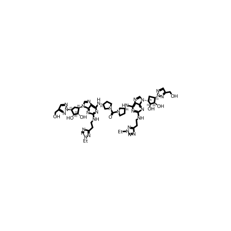 CCn1nnc(CCNc2nc(N[C@@H]3CCN(C(=O)N4CC[C@@H](Nc5nc(NCCc6nnn(CC)n6)nc6c5ncn6[C@@H]5C[C@H](n6ncc(CO)n6)[C@@H](O)[C@H]5O)C4)C3)c3ncn([C@@H]4C[C@H](n5ncc(CO)n5)[C@@H](O)[C@H]4O)c3n2)n1